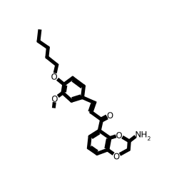 CCCCCOc1ccc(C=CC(=O)c2cccc3c2OC(N)CO3)cc1OC